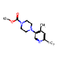 Cc1cc([N+](=O)[O-])ncc1N1CCN(C(=O)OC(C)(C)C)CC1